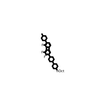 CCCCCCCCC1CCC(C2CCC(c3cc4c(c(F)c3F)-c3c-4ccc(C4CCC(C)CC4)c3F)CC2)CC1